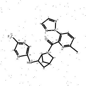 Cc1ccc(-n2nccn2)c(C(=O)N2CC3CC(Nc4cnc(C(F)(F)F)cn4)C2C3)n1